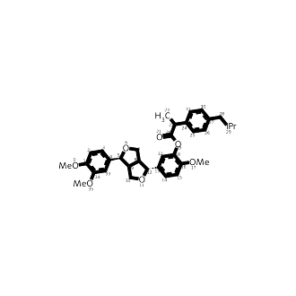 COc1ccc([C@H]2OCC3C2CO[C@H]3c2ccc(OC)c(OC(=O)C(C)c3ccc(CC(C)C)cc3)c2)cc1OC